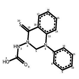 O=C(O)NN1CN(c2ccccc2)c2ccccc2C1=S